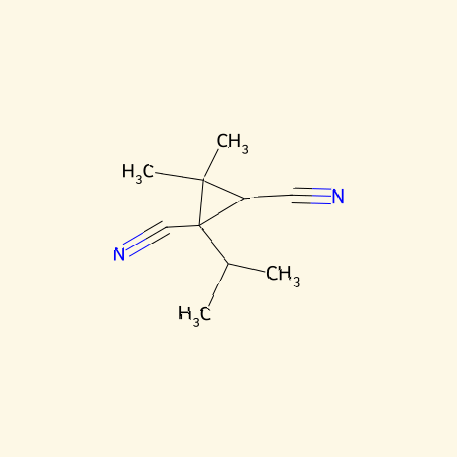 CC(C)C1(C#N)C(C#N)C1(C)C